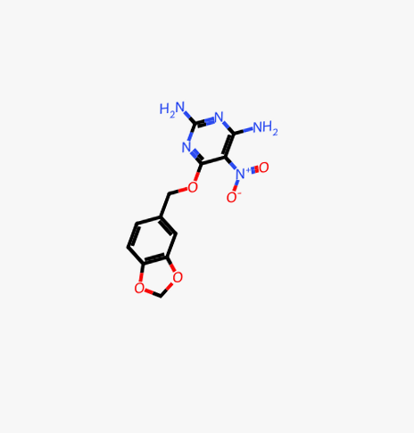 Nc1nc(N)c([N+](=O)[O-])c(OCc2ccc3c(c2)OCO3)n1